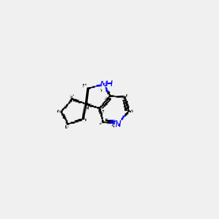 c1cc2c(cn1)C1(CCCC1)CN2